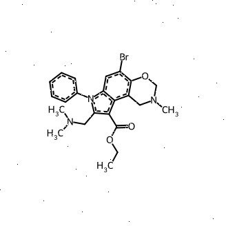 CCOC(=O)c1c(CN(C)C)n(-c2ccccc2)c2cc(Br)c3c(c12)CN(C)CO3